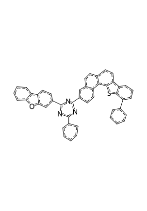 c1ccc(-c2nc(-c3ccc4c(ccc5ccc6c7cccc(-c8ccccc8)c7sc6c54)c3)nc(-c3ccc4c(c3)oc3ccccc34)n2)cc1